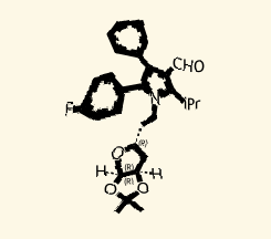 CC(C)c1c(C=O)c(-c2ccccc2)c(-c2ccc(F)cc2)n1CC[C@@H]1C[C@H]2OC(C)(C)O[C@H]2O1